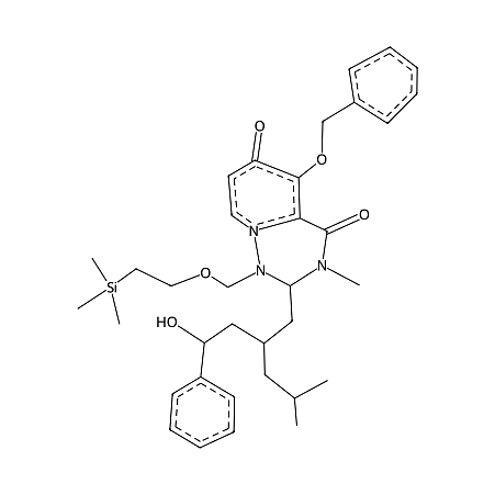 CC(C)CC(CC(O)c1ccccc1)CC1N(C)C(=O)c2c(OCc3ccccc3)c(=O)ccn2N1COCC[Si](C)(C)C